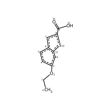 CCOc1ccc2cc(C(=O)O)sc2c1